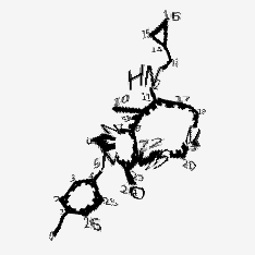 Cc1ccc(-n2cnc3c(C)c(NCC4CC4)ccncsc3c2=O)cc1